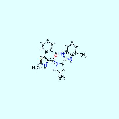 C=C1CC(c2nc3c(C)cccc3[nH]2)N(C(=O)c2nc(C)sc2-c2ccccc2)C1